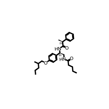 CCCCC(=O)NC[C@H](NC(=O)[C@@H](C)c1ccccc1)c1ccc(OCC(C)CCC)cc1